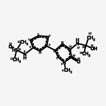 Cn1cc(-c2cccc(N[SH](C)(C)=O)c2)cc(NC(C)(C)O)c1=O